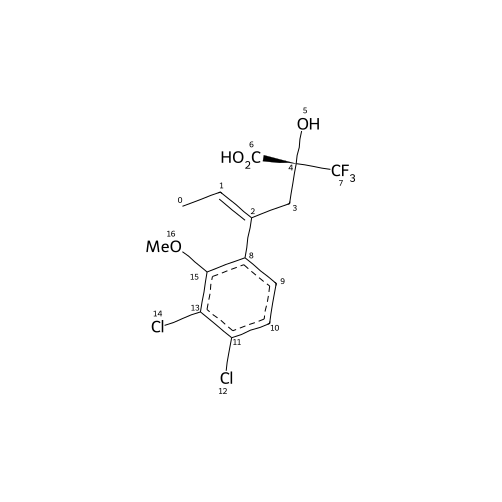 C/C=C(/C[C@@](O)(C(=O)O)C(F)(F)F)c1ccc(Cl)c(Cl)c1OC